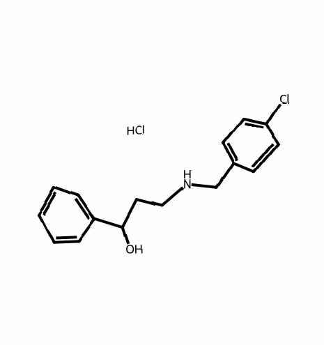 Cl.OC(CCNCc1ccc(Cl)cc1)c1ccccc1